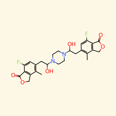 Cc1c(CC(O)N2CCN(C(O)Cc3cc(F)c4c(c3C)COC4=O)CC2)cc(F)c2c1COC2=O